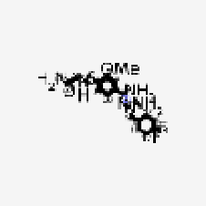 COc1cc(/C(N)=N/N(N)CC2CCC(F)(F)CC2)ccc1SNCC(N)=O